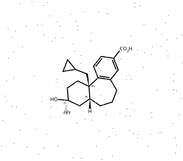 CCC[C@]1(O)CC[C@]2(CC3CC3)c3ccc(C(=O)O)cc3CCC[C@@H]2C1